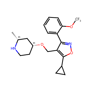 C[C@@H]1C[C@H](OCc2c(-c3ccccc3OC(F)(F)F)noc2C2CC2)CCN1